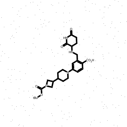 CC(C)(C)OC(=O)N1CC(C2CCN(c3ccc(C(=O)O)c(CNC4CCC(=O)NC4=O)c3)CC2)C1